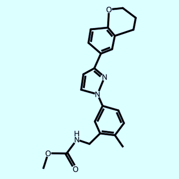 COC(=O)NCc1cc(-n2ccc(-c3ccc4c(c3)CCCO4)n2)ccc1C